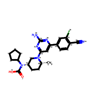 C[C@@H]1CC[C@H](N(C(=O)O)C2CCCC2)CN1c1cc(-c2ccc(C#N)c(F)c2)nc(N)n1